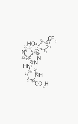 O=C(O)[C@@H]1CC[C@@H](Nc2nnc(-c3ccc(C(F)(F)F)cc3O)c3ccncc23)CN1